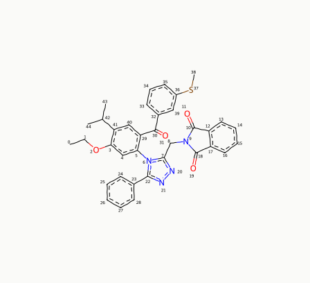 CCOc1cc(-n2c(CN3C(=O)c4ccccc4C3=O)nnc2-c2ccccc2)c(C(=O)c2cccc(SC)c2)cc1C(C)C